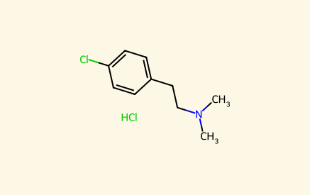 CN(C)CCc1ccc(Cl)cc1.Cl